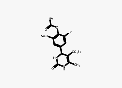 CCOC(=O)C1=C(C)NC(=O)NC1c1cc(Br)c(OC(=O)C(C)C)c(OC)c1